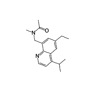 CCc1cc(CN(C)C(C)=O)c2nccc(C(C)C)c2c1